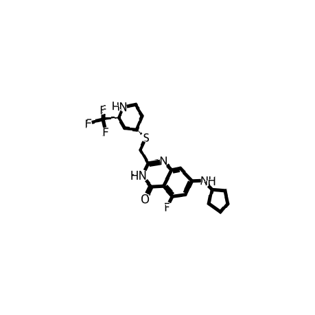 O=c1[nH]c(CS[C@H]2CCN[C@H](C(F)(F)F)C2)nc2cc(NC3CCCC3)cc(F)c12